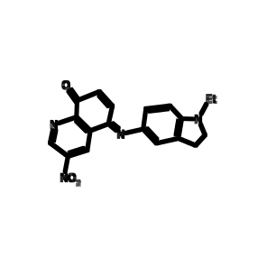 CCN1CCc2cc(N=C3C=CC(=O)c4ncc([N+](=O)[O-])cc43)ccc21